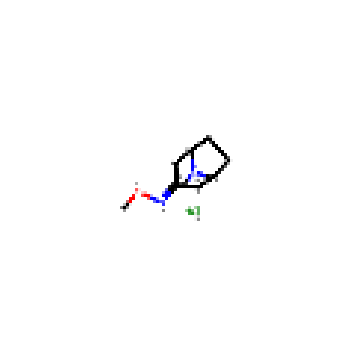 CON=C1CC2CCC(C1)N2C.Cl